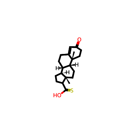 C[C@]12CCC(=O)C=C1CC[C@@H]1[C@H]2CC[C@]2(C)C(C(O)=S)CC[C@@H]12